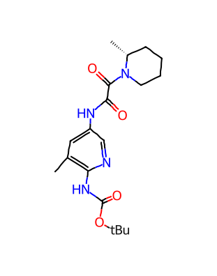 Cc1cc(NC(=O)C(=O)N2CCCC[C@H]2C)cnc1NC(=O)OC(C)(C)C